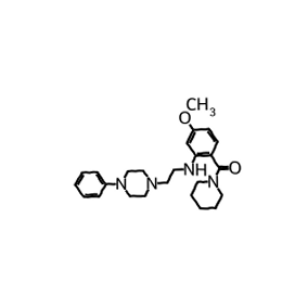 COc1ccc(C(=O)N2CCCCC2)c(NCCN2CCN(c3ccccc3)CC2)c1